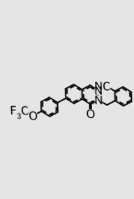 N#Cc1ccccc1Cn1ncc2ccc(-c3ccc(OC(F)(F)F)cc3)cc2c1=O